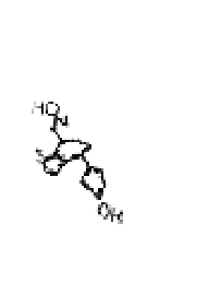 ON=Cc1ccc(-c2ccc(O)cc2)c2ccsc12